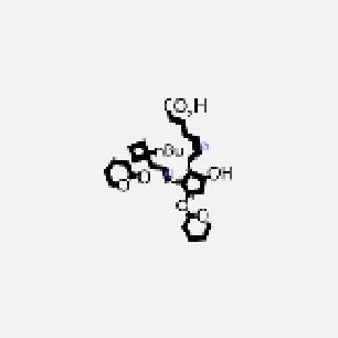 CCCCC1([C@@H](/C=C/[C@@H]2[C@@H](C/C=C\CCCC(=O)O)[C@@H](O)C[C@H]2OC2CCCCO2)OC2CCCCO2)CCC1